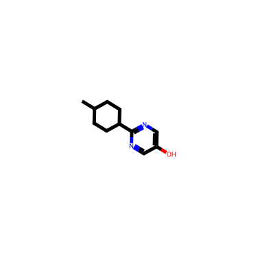 CC1CCC(c2ncc(O)cn2)CC1